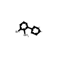 Bc1c(Br)cccc1-c1ccccc1